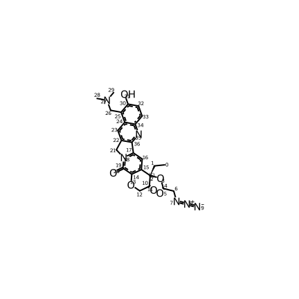 CC[C@@]1(OC(=O)CN=[N+]=[N-])C(=O)COc2c1cc1n(c2=O)Cc2cc3c(CN(C)C)c(O)ccc3nc2-1